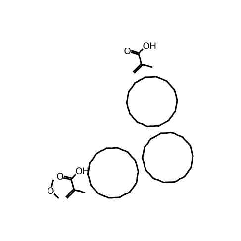 C1CCCCCCCCCCCCC1.C1CCCCCCCCCCCCC1.C1CCCCCCCCCCCCC1.C=C(C)C(=O)O.C=C(C)C(=O)O.COC